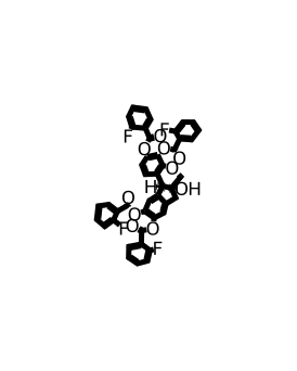 O=C(Oc1cc2c(cc1OC(=O)c1ccccc1F)[C@@H]1c3ccc(OC(=O)c4ccccc4F)c(OC(=O)c4ccccc4F)c3OC[C@]1(O)C2)c1ccccc1F